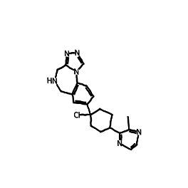 Cc1nccnc1C1CCC(Cl)(c2ccc3c(c2)CNCc2nncn2-3)CC1